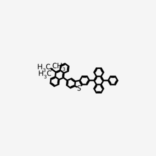 CC(C)(C)c1c2ccccc2c(-c2ccc3sc4cc(-c5c6ccccc6c(-c6ccccc6)c6ccccc56)ccc4c3c2)c2ccccc12